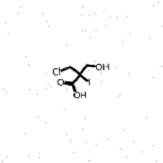 O=C(O)C(I)(CO)CCl